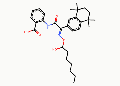 CCCCCCC(O)O/N=C(/C(=O)Nc1ccccc1C(=O)O)c1ccc2c(c1)C(C)(C)CCC2(C)C